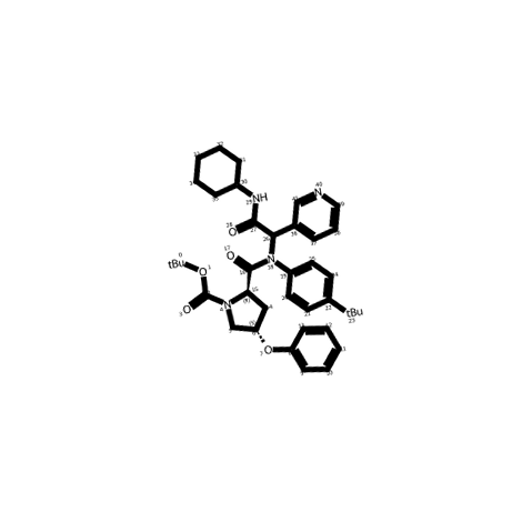 CC(C)(C)OC(=O)N1C[C@@H](Oc2ccccc2)C[C@@H]1C(=O)N(c1ccc(C(C)(C)C)cc1)C(C(=O)NC1CCCCC1)c1cccnc1